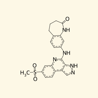 CS(=O)(=O)c1ccc2c(c1)nc(Nc1ccc3c(c1)NC(=O)CCC3)c1[nH]ncc12